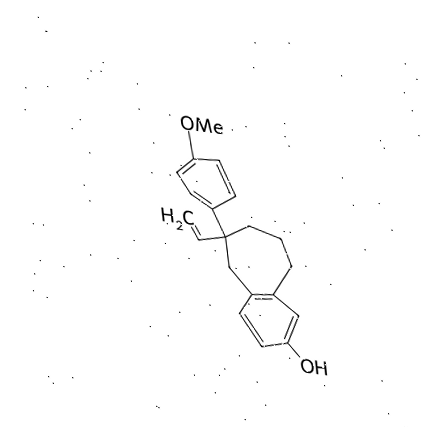 C=CC1(c2ccc(OC)cc2)CCCc2cc(O)ccc2C1